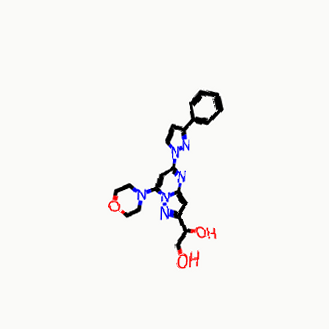 OCC(O)c1cc2nc(-n3ccc(-c4ccccc4)n3)cc(N3CCOCC3)n2n1